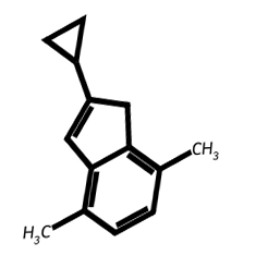 Cc1ccc(C)c2c1C=C(C1CC1)C2